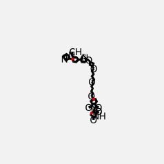 Cn1c2ccncc2c2ccc(-c3ccc(OC4CC(OCCCCOCCCCCOc5ccc6c(c5)C(=O)N(C5CCC(=O)NC5=O)C6=O)C4)nc3)cc21